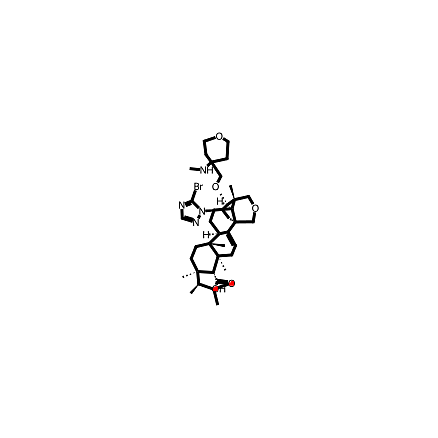 CNC1(CO[C@H]2[C@H](n3ncnc3Br)C[C@@]34COC[C@]2(C)[C@@H]3CC[C@H]2C4=CC[C@@]3(C)[C@H](C(=O)O)[C@@](C)([C@H](C)C(C)C)CC[C@]23C)CCOCC1